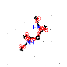 C=C(C)C(=O)OCCCNC(=O)OC(COC(=O)C(=C)C)COc1cccc(OCC(COC(=O)C(=C)C)OC(=O)NCCCOC(=O)C(=C)C)c1